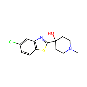 CN1CCC(O)(c2nc3cc(Cl)ccc3s2)CC1